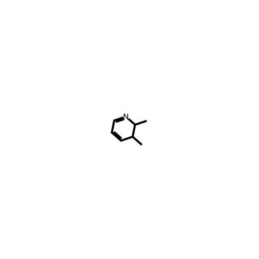 CC1C=CC=NC1C